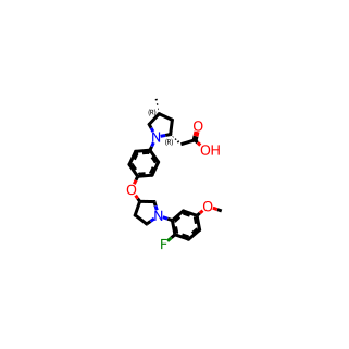 COc1ccc(F)c(N2CCC(Oc3ccc(N4C[C@H](C)C[C@@H]4CC(=O)O)cc3)C2)c1